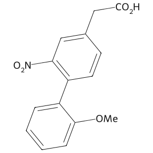 COc1ccccc1-c1ccc(CC(=O)O)cc1[N+](=O)[O-]